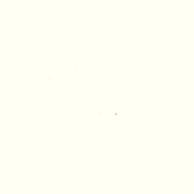 COc1ccc(C(N[C@@H](C)c2cccc(F)c2)c2cccc(Nc3c(N)c(=O)c3=O)c2)cc1